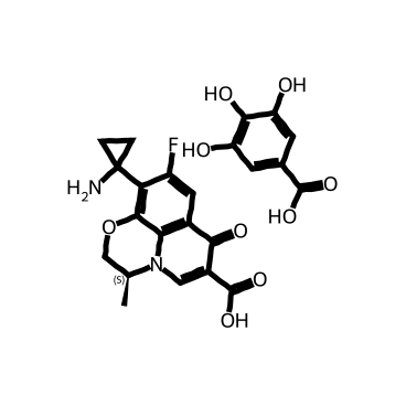 C[C@H]1COc2c(C3(N)CC3)c(F)cc3c(=O)c(C(=O)O)cn1c23.O=C(O)c1cc(O)c(O)c(O)c1